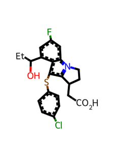 CCC(O)c1cc(F)cc2c1c(Sc1ccc(Cl)cc1)c1n2CCC1CC(=O)O